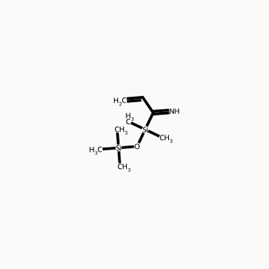 C=CC(=N)[Si](C)(C)O[Si](C)(C)C